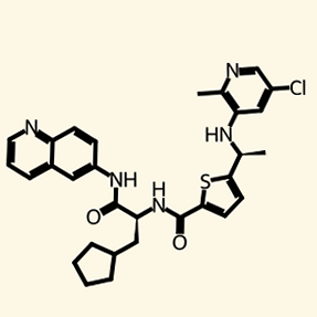 Cc1ncc(Cl)cc1N[C@@H](C)c1ccc(C(=O)N[C@@H](CC2CCCC2)C(=O)Nc2ccc3ncccc3c2)s1